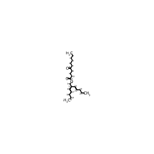 CCCCCCC(=O)CCCC(=O)OCC(CCCCC)CCCCC